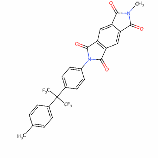 Cc1ccc(C(c2ccc(-n3c(=O)c4cc5c(=O)n(C)c(=O)c5cc4c3=O)cc2)(C(F)(F)F)C(F)(F)F)cc1